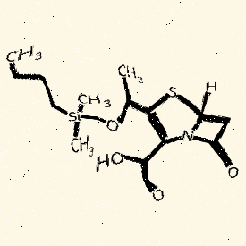 CCCC[Si](C)(C)OC(C)C1=C(C(=O)O)N2C(=O)C[C@H]2S1